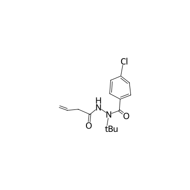 C=CCC(=O)NN(C(=O)c1ccc(Cl)cc1)C(C)(C)C